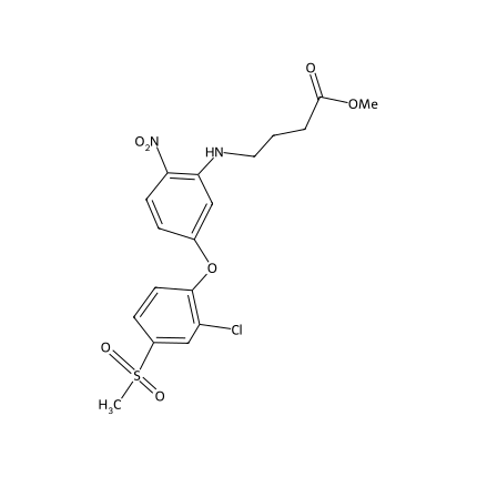 COC(=O)CCCNc1cc(Oc2ccc(S(C)(=O)=O)cc2Cl)ccc1[N+](=O)[O-]